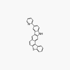 c1ccc(-c2ccc3[nH]c4cc5c(ccc6sc7ccccc7c65)cc4c3c2)nc1